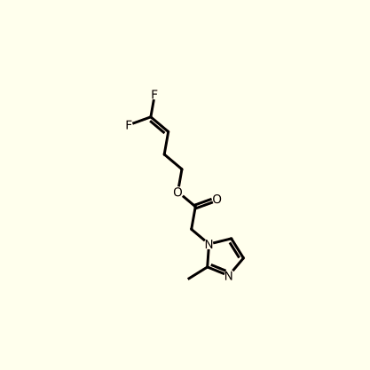 Cc1nccn1CC(=O)OCCC=C(F)F